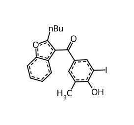 CCCCc1oc2ccccc2c1C(=O)c1cc(C)c(O)c(I)c1